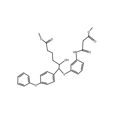 COC(=O)CCCC(O)C(Sc1cccc(NC(=O)CC(=O)OC)c1)c1ccc(Oc2ccccc2)cc1